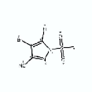 CCc1c(Br)c(C#N)nn1S(C)(=O)=O